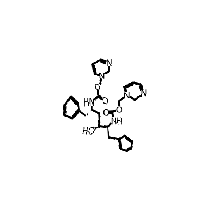 O=C(N[C@@H](Cc1ccccc1)C[C@H](O)[C@H](Cc1ccccc1)NC(=O)OCN1C=CC=NC1)OCN1C=CC=NC1